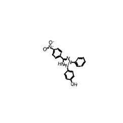 O=[N+]([O-])c1ccc(C2=NN(c3ccccc3)N(c3ccc(O)cc3)N2)cc1